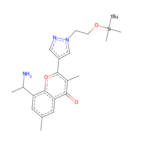 Cc1cc(C(C)N)c2oc(-c3cnn(CCO[Si](C)(C)C(C)(C)C)c3)c(C)c(=O)c2c1